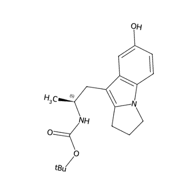 C[C@@H](Cc1c2n(c3ccc(O)cc13)CCC2)NC(=O)OC(C)(C)C